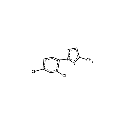 Cc1ccn(-c2ccc(Cl)cc2Cl)n1